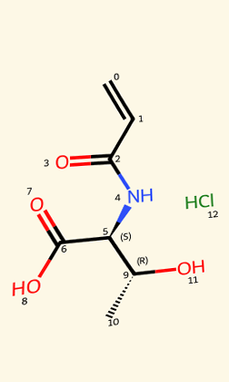 C=CC(=O)N[C@H](C(=O)O)[C@@H](C)O.Cl